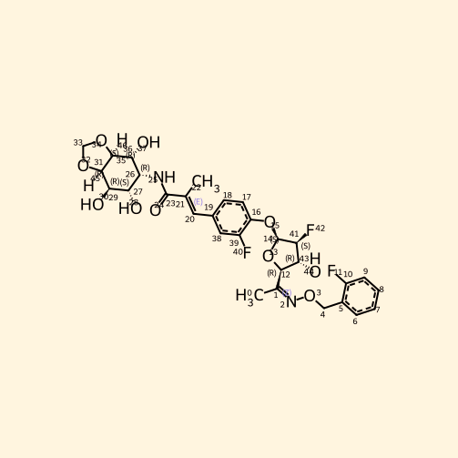 C/C(=N/OCc1ccccc1F)[C@H]1O[C@@H](Oc2ccc(/C=C(\C)C(=O)N[C@@H]3[C@H](O)[C@@H](O)[C@H]4OCO[C@H]4[C@@H]3O)cc2F)[C@@H](F)[C@@H]1O